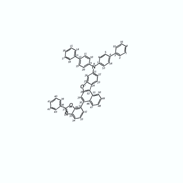 c1ccc(-c2ccc(N(c3ccc(-c4ccccc4)cc3)c3ccc4c(c3)oc3cc(-c5cccc6nc(-c7ccccc7)oc56)c5ccccc5c34)cc2)cc1